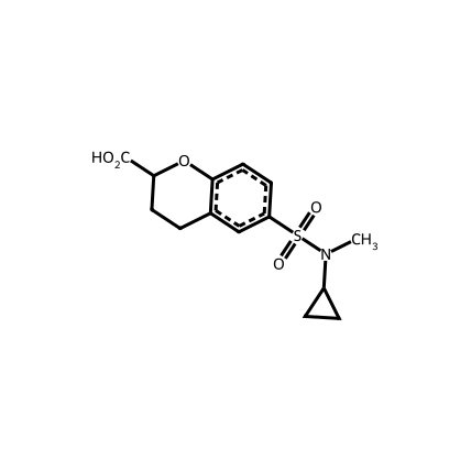 CN(C1CC1)S(=O)(=O)c1ccc2c(c1)CCC(C(=O)O)O2